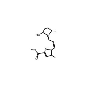 COC(=O)C1=CC(C)C(/C=C\CN2C(O)CC[C@@H]2C)S1